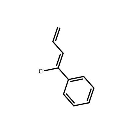 C=CC=C(Cl)c1ccccc1